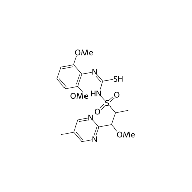 COc1cccc(OC)c1/N=C(/S)NS(=O)(=O)C(C)C(OC)c1ncc(C)cn1